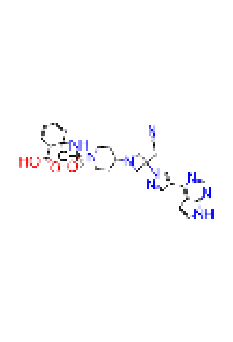 CC1(NC(=O)N2CCC(N3CC(CC#N)(n4cc(-c5ncnc6[nH]ccc56)cn4)C3)CC2)C=CC=CC1C(=O)O